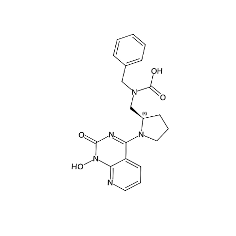 O=C(O)N(Cc1ccccc1)C[C@H]1CCCN1c1nc(=O)n(O)c2ncccc12